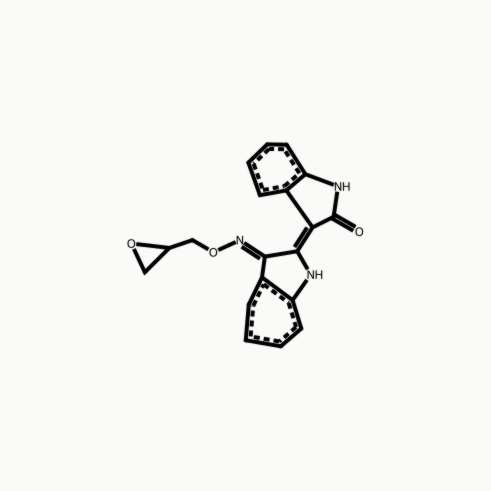 O=C1Nc2ccccc2/C1=C1/Nc2ccccc2/C1=N\OCC1CO1